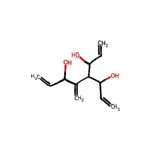 C=CC(O)[C](C(=C)C(O)C=C)C(O)C=C